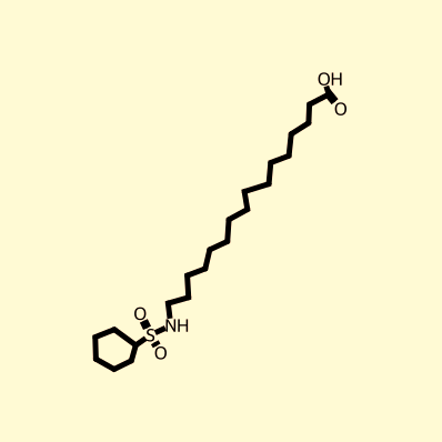 O=C(O)CCCCCCCCCCCCCCCNS(=O)(=O)C1CCCCC1